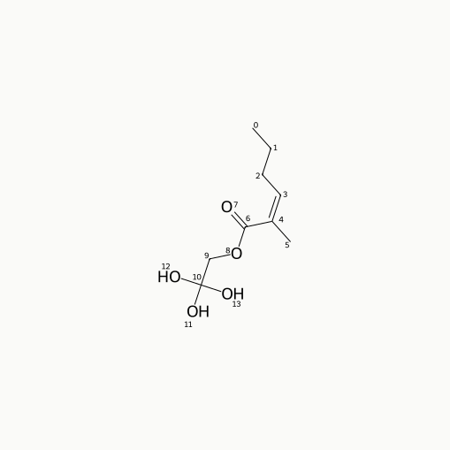 CCCC=C(C)C(=O)OCC(O)(O)O